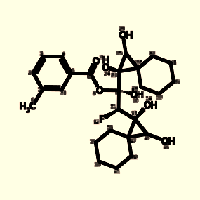 Cc1cccc(C(=O)O[C@](O)([C@H](F)[C@]2(O)C(O)C23CCCCC3)[C@]2(O)C(O)C23CCCCC3)c1